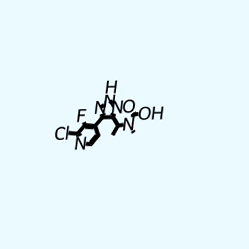 CC(c1n[nH]nc1-c1ccnc(Cl)c1F)N(C)C(=O)O